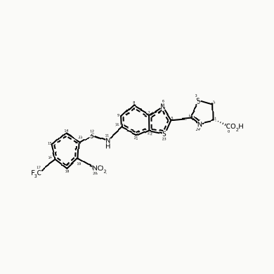 O=C(O)[C@H]1CSC(c2nc3ccc(NSc4ccc(C(F)(F)F)cc4[N+](=O)[O-])cc3s2)=N1